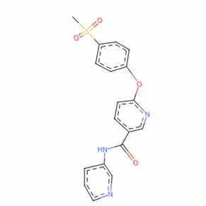 CS(=O)(=O)c1ccc(Oc2ccc(C(=O)Nc3cccnc3)cn2)cc1